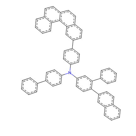 c1ccc(-c2ccc(N(c3ccc(-c4ccc5ccc6ccc7ccccc7c6c5c4)cc3)c3ccc(-c4ccc5ccccc5c4)c(-c4ccccc4)c3)cc2)cc1